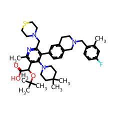 Cc1cc(F)ccc1CN1CCc2cc(-c3c(CN4CCSCC4)nc(C)c(C(OC(C)(C)C)C(=O)O)c3N3CCC(C)(C)CC3)ccc2C1